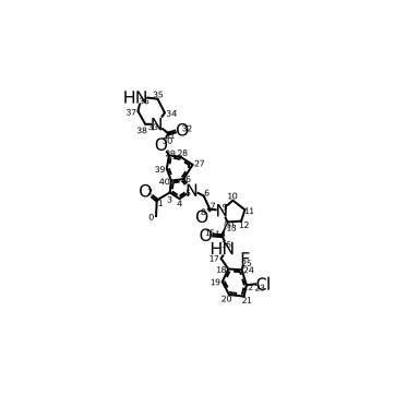 CC(=O)c1cn(CC(=O)N2CCC[C@H]2C(=O)NCc2cccc(Cl)c2F)c2ccc(OC(=O)N3CCNCC3)cc12